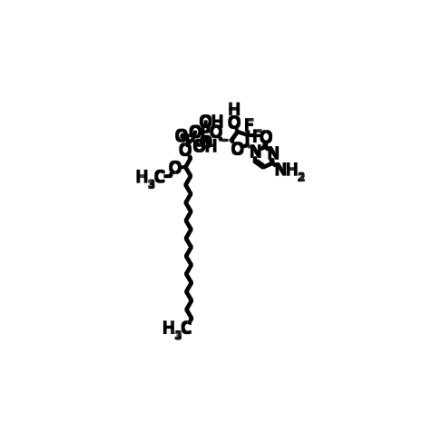 CCCCCCCCCCCCCCCCCCC(COP(=O)(O)OP(=O)(O)OC[C@H]1O[C@@H](n2ccc(N)nc2=O)C(F)(F)[C@@H]1O)OCC